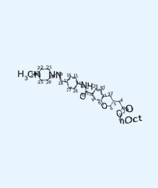 CCCCCCCCOC(=O)CC1COc2cc(C(=O)Nc3ccc(C=NN4CCN(C)CC4)cc3)ccc2C1